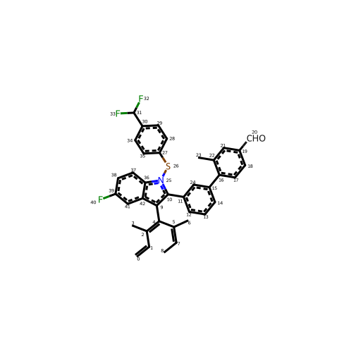 C=C/C(C)=C(\C(C)=C/C)c1c(-c2cccc(-c3ccc(C=O)cc3C)c2)n(Sc2ccc(C(F)F)cc2)c2ccc(F)cc12